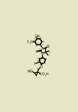 CC(C)(C)C1CC1(COc1ccc(N2C(=S)N(c3ccc(C#N)c(C(F)(F)F)c3)C(=O)C2(C)C)cc1F)C(=O)O